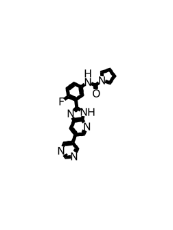 O=C(Nc1ccc(F)c(-c2nc3cc(-c4cncnc4)cnc3[nH]2)c1)N1CCCC1